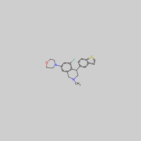 CN1Cc2cc(N3CCOCC3)cc(F)c2C(c2ccc3sccc3c2)C1